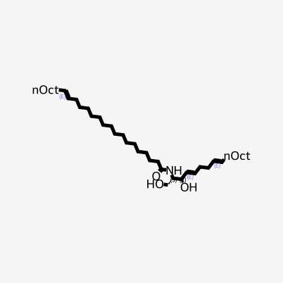 CCCCCCCC/C=C/CC/C=C/[C@@H](O)[C@H](CO)NC(=O)CCCCCCCCCCCCCCC/C=C/CCCCCCCC